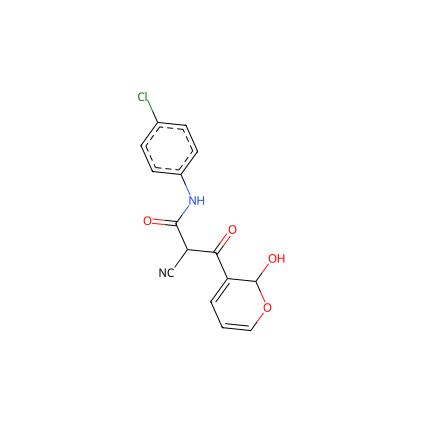 N#CC(C(=O)Nc1ccc(Cl)cc1)C(=O)C1=CC=COC1O